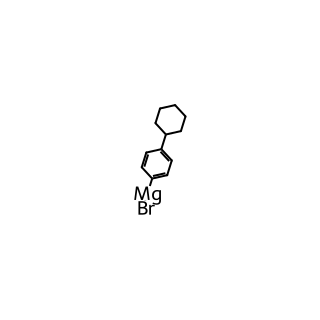 [Br][Mg][c]1ccc(C2CCCCC2)cc1